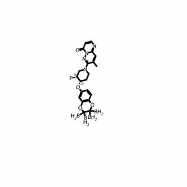 BC1(B)Oc2ccc(O[C@H]3CCN(c4nn5c(=O)ccnc5cc4C)C[C@@H]3F)cc2OC1(B)B